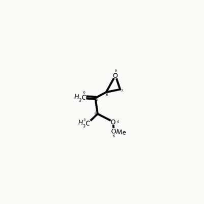 C=C(C(C)OOC)C1CO1